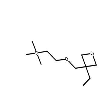 CCC1(COCC[Si](C)(C)C)COC1